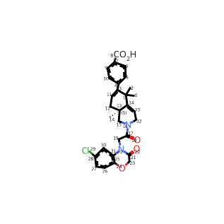 CC1(C)C(c2ccc(C(=O)O)cc2)=CC[C@]2(C)CN(C(=O)CN3C(=O)COc4ccc(Cl)cc43)CC=C12